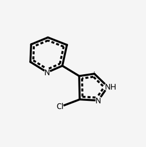 Clc1n[nH][c]c1-c1ccccn1